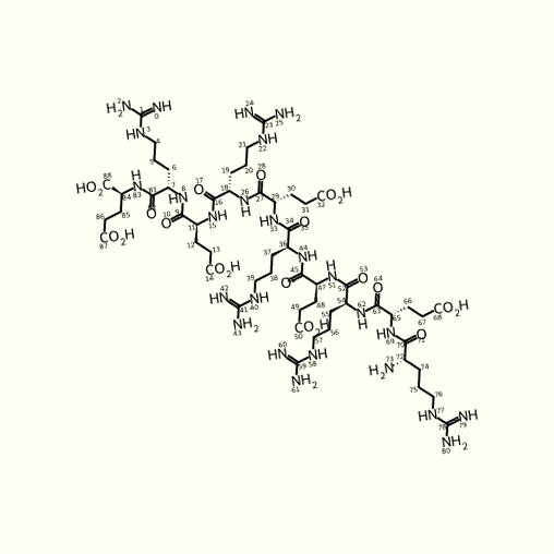 N=C(N)NCCC[C@H](NC(=O)[C@H](CCC(=O)O)NC(=O)[C@H](CCCNC(=N)N)NC(=O)[C@H](CCC(=O)O)NC(=O)[C@H](CCCNC(=N)N)NC(=O)[C@H](CCC(=O)O)NC(=O)[C@H](CCCNC(=N)N)NC(=O)[C@H](CCC(=O)O)NC(=O)[C@@H](N)CCCNC(=N)N)C(=O)N[C@@H](CCC(=O)O)C(=O)O